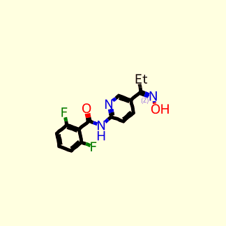 CC/C(=N/O)c1ccc(NC(=O)c2c(F)cccc2F)nc1